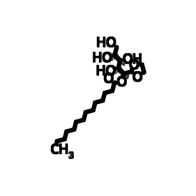 CCCCCCCCCCCCCC(=O)O[C@@H](C1OCCO1)[C@@H](O)[C@H](O)[C@H](O)CO